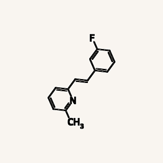 Cc1cccc(C=Cc2cccc(F)c2)n1